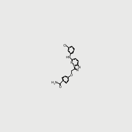 NC(=O)c1ccc(OCc2nnc3ccc(Nc4cccc(Cl)c4)nn23)cc1